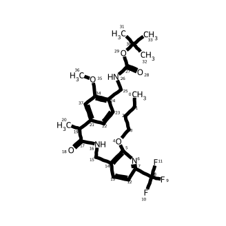 CCCCOc1nc(C(F)(F)F)ccc1CNC(=O)C(C)c1ccc(CNC(=O)OC(C)(C)C)c(OC)c1